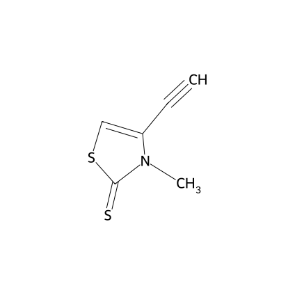 C#Cc1csc(=S)n1C